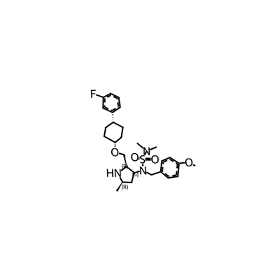 COc1ccc(CN([C@H]2C[C@@H](C)N[C@H]2CO[C@H]2CC[C@@H](c3cccc(F)c3)CC2)S(=O)(=O)N(C)C)cc1